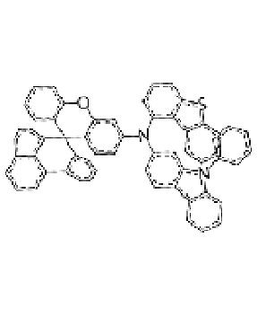 c1ccc(-n2c3ccccc3c3ccc(N(c4ccc5c(c4)Oc4ccccc4C54c5ccccc5-c5cccc6cccc4c56)c4cccc5sc6ccccc6c45)cc32)cc1